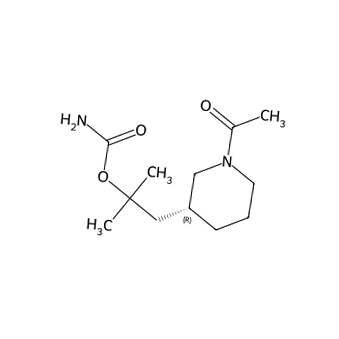 CC(=O)N1CCC[C@H](CC(C)(C)OC(N)=O)C1